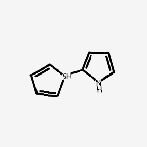 C1=C[SH](c2ccc[nH]2)C=C1